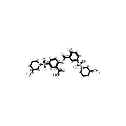 CC1CCCN(S(=O)(=O)c2ccc(F)c(C(=O)Oc3ccc(S(=O)(=O)N4CCCC(C)C4)cc3C(=O)O)c2)C1